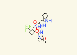 CN1CC(=O)N(CC(=O)NC(Cc2c[nH]c3ccccc23)C(=O)NCc2ccccc2C(F)(F)F)CC1=O